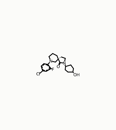 O=C1N(C2CCC(O)CC2)CC[C@]12CCCN(c1ccc(Cl)cc1F)C2